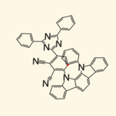 N#Cc1c(-c2nc(-c3ccccc3)nc(-c3ccccc3)n2)ccc(-n2c3ccccc3c3ccc4c5ccccc5n(-c5ccccc5)c4c32)c1C#N